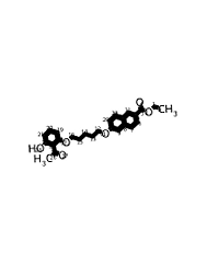 CCOC(=O)c1ccc2cc(OCCCCCOc3cccc(O)c3C(C)=O)ccc2c1